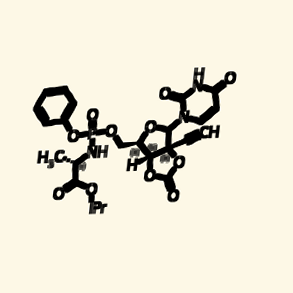 C#C[C@@]12OC(=O)O[C@@H]1[C@@H](COP(=O)(N[C@@H](C)C(=O)OC(C)C)Oc1ccccc1)OC2n1ccc(=O)[nH]c1=O